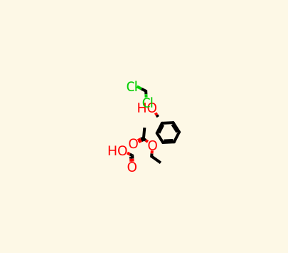 CCOC(C)=O.CO.ClCCl.O=CO.c1ccccc1